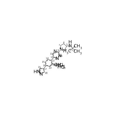 CC(C)(C)NC1CCN(c2ncc(-c3ccc(-c4cn[nH]c4)cc3O)nn2)C1.Cl.Cl